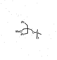 CC[Si](C)(C)OCC(COC)(CC(C)C)CC(C)C